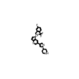 Fc1ccc(C(F)(F)F)c(COn2ccc3ncc(-c4cnn(C5CCNCC5)c4)cc32)c1